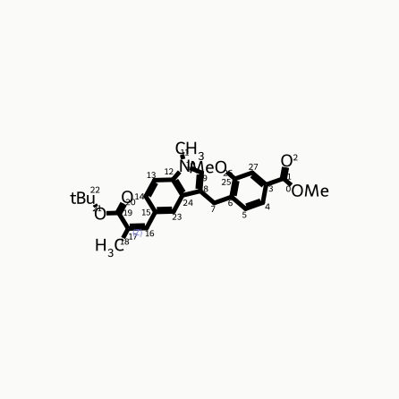 COC(=O)c1ccc(Cc2cn(C)c3ccc(/C=C(/C)C(=O)OC(C)(C)C)cc23)c(OC)c1